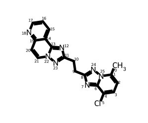 Cc1ccc(Cl)c2nc(CCc3nc4c5cccnc5ccn4n3)nn12